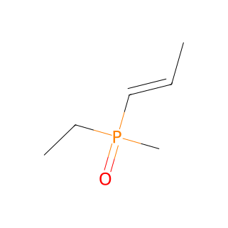 CC=CP(C)(=O)CC